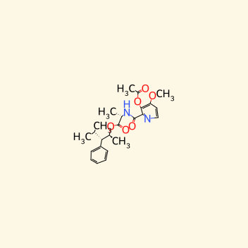 COc1ccnc(C(=O)N[C@@H](C)C(=O)O[C@@H](C)[C@H](c2ccccc2)C(C)C)c1OC(C)=O